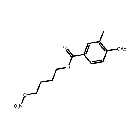 CC(=O)Oc1ccc(C(=O)OCCCCO[N+](=O)[O-])cc1C